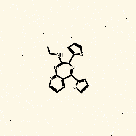 CCNC1=Nc2ncccc2C(c2ccco2)=NC1c1cccs1